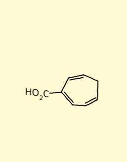 O=C(O)C1=CC=CCC=C1